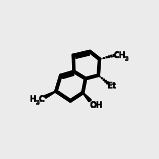 CC[C@@H]1C2C(=C[C@H](C)C[C@@H]2O)C=C[C@@H]1C